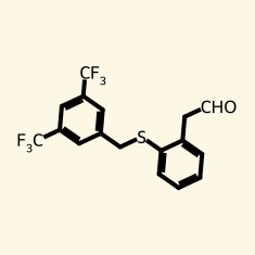 O=CCc1ccccc1SCc1cc(C(F)(F)F)cc(C(F)(F)F)c1